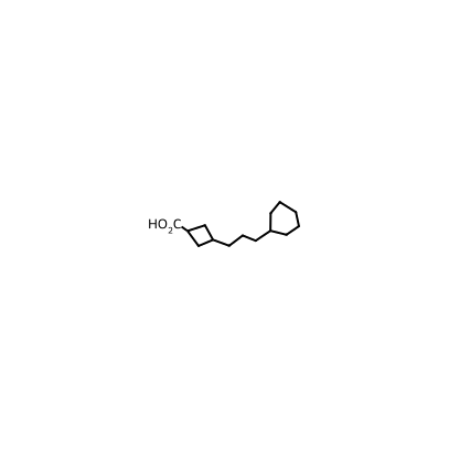 O=C(O)C1CC(CCCC2CCCCC2)C1